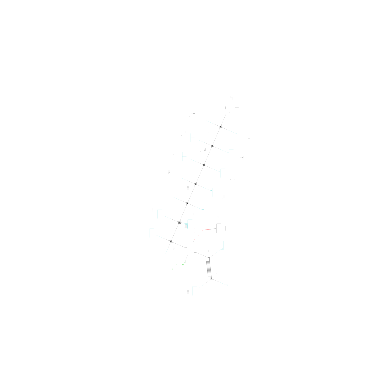 CCO[Si](Cl)(C(F)=C(F)F)C(F)(F)C(F)(F)C(F)(F)C(F)(F)C(F)(F)C(F)(F)C(F)(F)C(F)(F)F